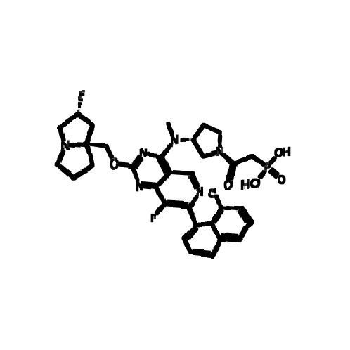 CN(c1nc(OC[C@@]23CCCN2C[C@H](F)C3)nc2c(F)c(-c3cccc4cccc(Cl)c34)ncc12)[C@@H]1CCN(C(=O)CP(=O)(O)O)C1